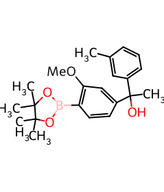 COc1cc(C(C)(O)c2cccc(C)c2)ccc1B1OC(C)(C)C(C)(C)O1